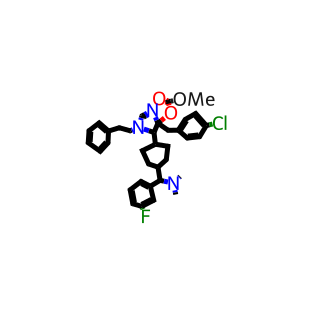 COC(=O)OC1(Cc2ccc(Cl)cc2)N=CN(CCc2ccccc2)C1C1CCC(C(c2cccc(F)c2)N(C)C)CC1